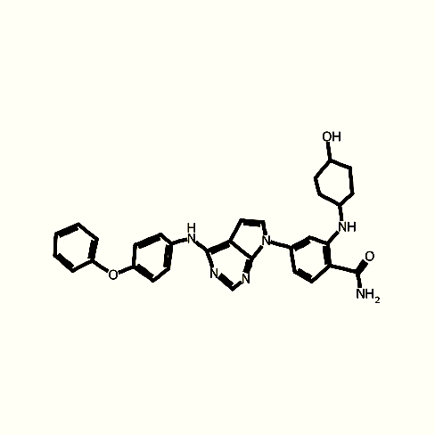 NC(=O)c1ccc(-n2ccc3c(Nc4ccc(Oc5ccccc5)cc4)ncnc32)cc1NC1CCC(O)CC1